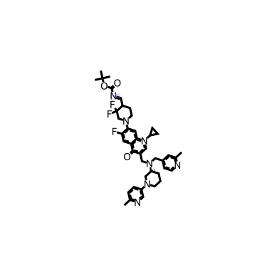 Cc1ccc(N2CCC[C@H](N(Cc3ccnc(C)c3)Cc3cn(C4CC4)c4cc(N5CCC(/C=N/C(=O)OC(C)(C)C)C(F)(F)C5)c(F)cc4c3=O)C2)cn1